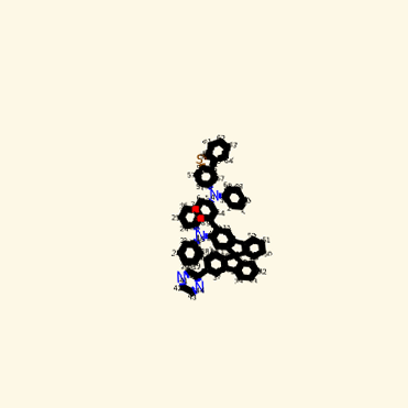 c1ccc(N(c2cccc(-c3cc4c(cc3N(c3ccccc3)c3ccccc3)C3(c5ccccc5-c5cc(-c6cnccn6)ccc53)c3ccccc3-4)c2)c2ccc3sc4ccccc4c3c2)cc1